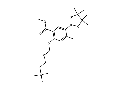 COC(=O)c1cc(B2OC(C)(C)C(C)(C)O2)c(F)cc1OCOCCS(C)(C)C